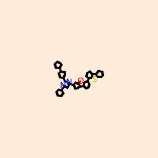 c1ccc(-c2ccc(-c3nc(-c4ccccc4)cc(-c4ccc5c(c4)oc4c(-c6cccc7c6sc6ccccc67)cccc45)n3)cc2)cc1